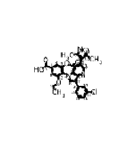 CCOc1cc(C(=O)O)cc(OCC)c1-n1cc(-c2cccc(Cl)c2)c2ncc(-c3c(C)noc3C)cc21